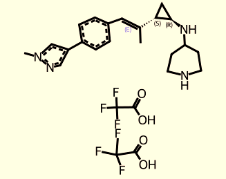 C/C(=C\c1ccc(-c2cnn(C)c2)cc1)[C@@H]1C[C@H]1NC1CCNCC1.O=C(O)C(F)(F)F.O=C(O)C(F)(F)F